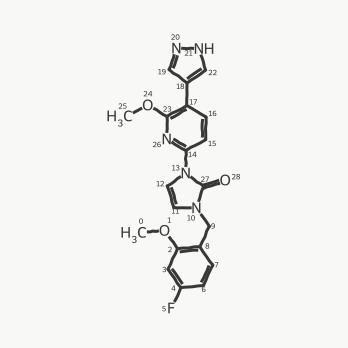 COc1cc(F)ccc1Cn1ccn(-c2ccc(-c3cn[nH]c3)c(OC)n2)c1=O